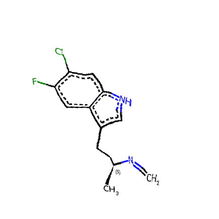 C=N[C@@H](C)Cc1c[nH]c2cc(Cl)c(F)cc12